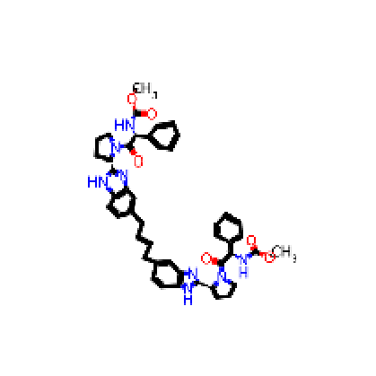 COC(=O)N[C@@H](C(=O)N1CCC[C@H]1c1nc2cc(CC=CCc3ccc4[nH]c([C@@H]5CCCN5C(=O)[C@H](NC(=O)OC)c5ccccc5)nc4c3)ccc2[nH]1)c1ccccc1